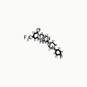 N=C(/N=C\N(O)Cn1ccc(C(F)(F)F)cc1=O)N1CCN(c2ccc(F)cc2)CC1